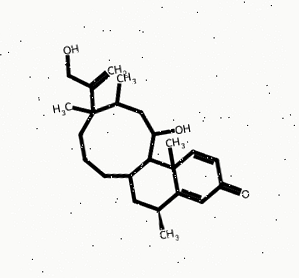 C=C(CO)C1(C)CCCC2C[C@H](C)C3=CC(=O)C=CC3(C)C2C(O)CC1C